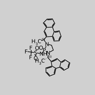 C[C@@H](c1cc2ccccc2c2ccccc12)N1CCN([C@@H](C)c2cc3ccccc3c3ccccc23)P1(=O)NS(=O)(=O)C(F)(F)F